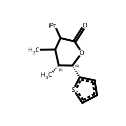 CC(C)C1C(=O)O[C@H](c2cccs2)[C@H](C)C1C